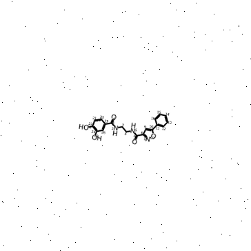 O=C(NCCNC(=O)c1cc(-c2ccccc2)on1)c1ccc(O)c(O)c1